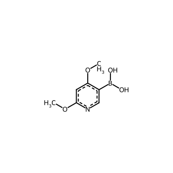 COc1cc(OC)c(B(O)O)cn1